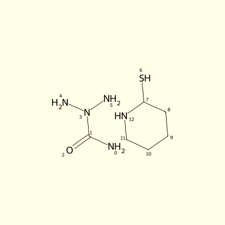 NC(=O)N(N)N.SC1CCCCN1